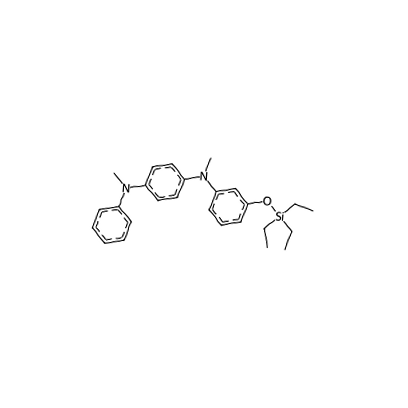 CC[Si](CC)(CC)Oc1cccc(N(C)c2ccc(N(C)c3ccccc3)cc2)c1